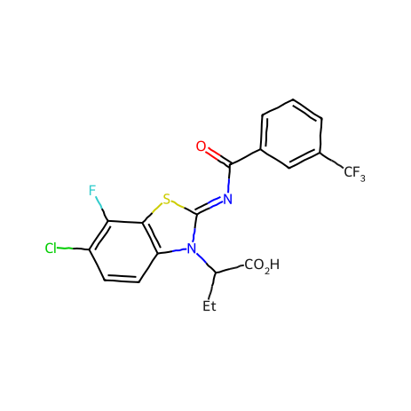 CCC(C(=O)O)n1c(=NC(=O)c2cccc(C(F)(F)F)c2)sc2c(F)c(Cl)ccc21